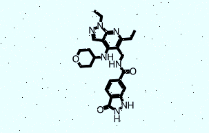 CCc1nc2c(cnn2CC)c(NC2CCOCC2)c1CNC(=O)c1ccc2c(=O)[nH][nH]c2c1